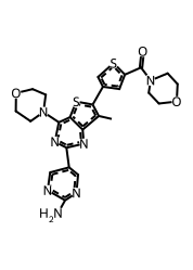 Cc1c(-c2csc(C(=O)N3CCOCC3)c2)sc2c(N3CCOCC3)nc(-c3cnc(N)nc3)nc12